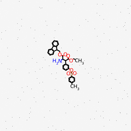 CCOC(=O)C(c1cccc(OS(=O)(=O)c2ccc(C)cc2)c1)C(N)C(=O)OCC1c2ccccc2-c2ccccc21